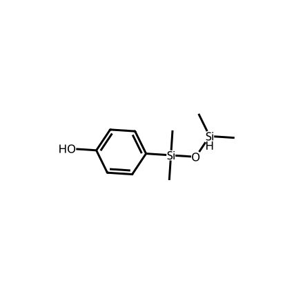 C[SiH](C)O[Si](C)(C)c1ccc(O)cc1